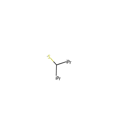 CC(C)C([S])C(C)C